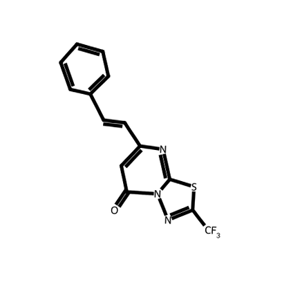 O=c1cc(/C=C/c2ccccc2)nc2sc(C(F)(F)F)nn12